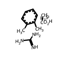 CC(=O)O.Cc1ccccc1C.N=C(N)N.S